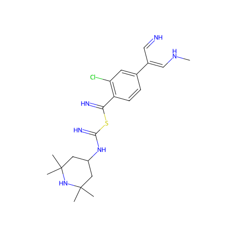 CN/C=C(\C=N)c1ccc(C(=N)SC(=N)NC2CC(C)(C)NC(C)(C)C2)c(Cl)c1